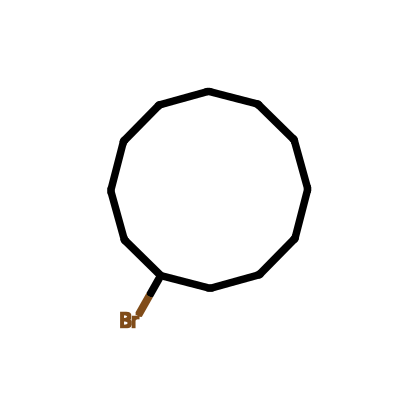 BrC1CCCCCCCCCCC1